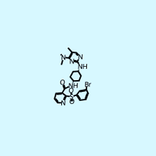 Cc1cnc(N[C@H]2CC[C@@H](NC(=O)c3cccnc3S(=O)(=O)c3cccc(Br)c3)CC2)nc1N(C)C